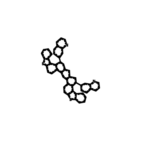 c1cnc2cc(-c3cc4cc5cc(-c6ccc7cccnc7c6)c6c(ccc7sc8ccccc8c76)c5cc4c4ccc5sc6ccccc6c5c34)ccc2c1